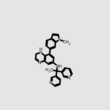 Cn1ccc2ccc(-c3cc(NC(C)(c4cccnc4)c4cccnc4)cc4c3NCC=N4)cc21